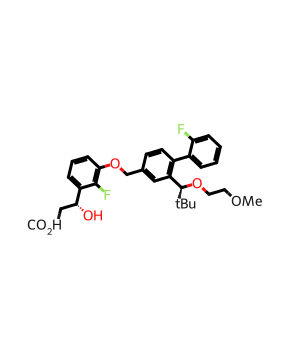 COCCO[C@H](c1cc(COc2cccc([C@H](O)CC(=O)O)c2F)ccc1-c1ccccc1F)C(C)(C)C